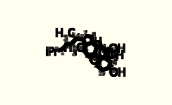 CC(C)CCC[C@@H](C)[C@H]1CC[C@H]2C3=CC(O)C4(O)CC(O)CC[C@]4(C)C34OC4C[C@]12C